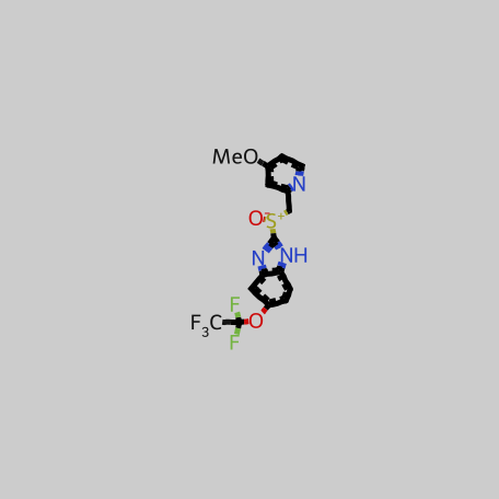 COc1ccnc(C[S+]([O-])c2nc3cc(OC(F)(F)C(F)(F)F)ccc3[nH]2)c1